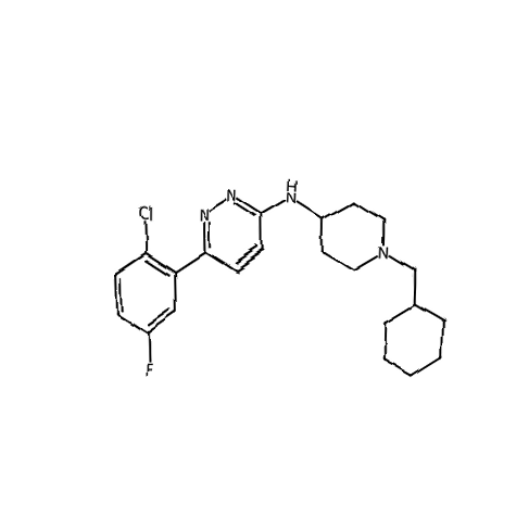 Fc1ccc(Cl)c(-c2ccc(NC3CCN(CC4CCCCC4)CC3)nn2)c1